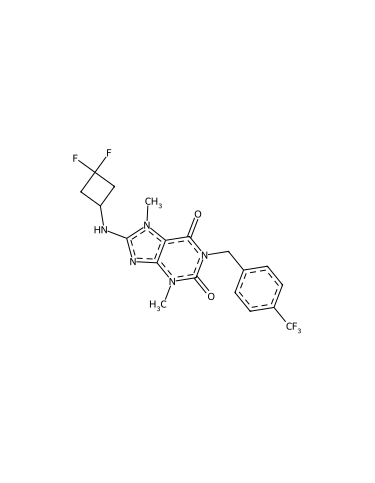 Cn1c(NC2CC(F)(F)C2)nc2c1c(=O)n(Cc1ccc(C(F)(F)F)cc1)c(=O)n2C